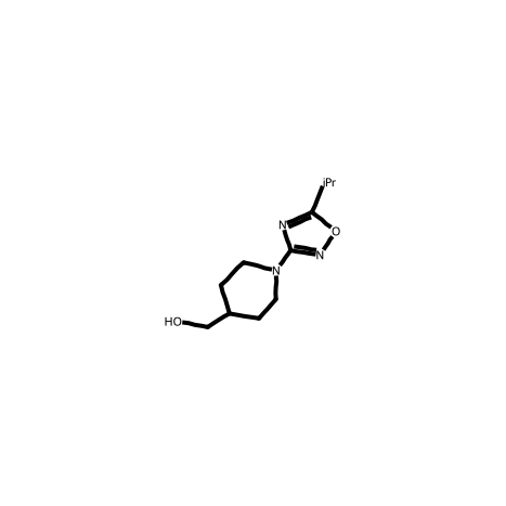 CC(C)c1nc(N2CCC(CO)CC2)no1